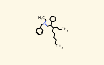 CCCCCCC(CCC)C(CN(CC)Cc1ccccc1)C1CCCC1